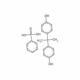 CC(C)(c1ccc(O)cc1)c1ccc(O)cc1.O=P(O)(O)c1ccccc1